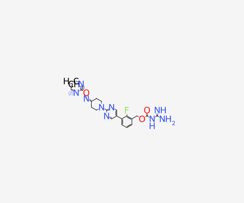 C/C=N\C(=N/C)ON=C1CCN(c2ncc(-c3cccc(COC(=O)NC(=N)N)c3F)cn2)CC1